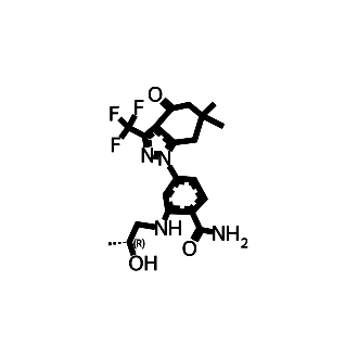 C[C@@H](O)CNc1cc(-n2nc(C(F)(F)F)c3c2CC(C)(C)CC3=O)ccc1C(N)=O